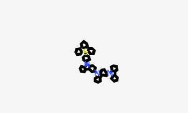 c1ccc(S(c2ccccc2)(c2ccccc2)c2ccc(-n3c4ccccc4c4cc(-n5c6ccccc6c6cc(-n7c8ccccc8c8ccccc87)ccc65)ccc43)cc2)cc1